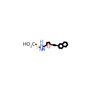 O=C(O)CSc1nnc(-c2ccc(C#Cc3ccc4ccccc4c3)o2)[nH]1